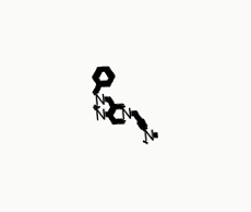 CN(C)C#CCN1CCC2=C(CN(Cc3ccccc3)C=N2)C1